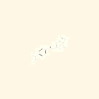 CCC(C)c1ccc(OCC2CCC3CSC3C2)cc1